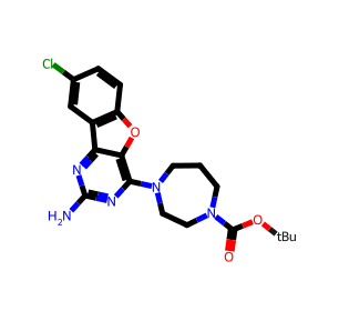 CC(C)(C)OC(=O)N1CCCN(c2nc(N)nc3c2oc2ccc(Cl)cc23)CC1